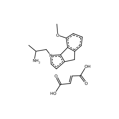 COc1cccc2c1-c1c(ccn1CC(C)N)C2.O=C(O)C=CC(=O)O